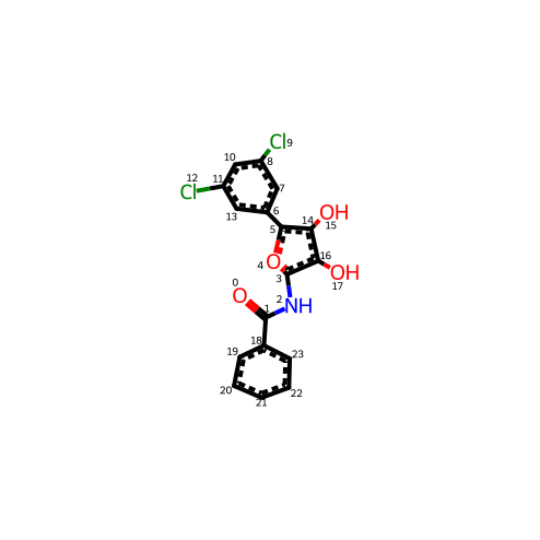 O=C(Nc1oc(-c2cc(Cl)cc(Cl)c2)c(O)c1O)c1ccccc1